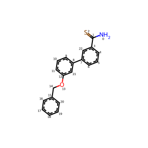 NC(=S)c1cccc(-c2cccc(OCc3ccccc3)c2)c1